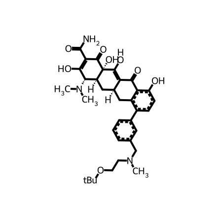 CN(CCOC(C)(C)C)Cc1cccc(-c2ccc(O)c3c2C[C@H]2C[C@H]4[C@H](N(C)C)C(O)=C(C(N)=O)C(=O)[C@@]4(O)C(O)=C2C3=O)c1